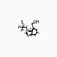 OCc1cccc2ncn(CC(F)(F)F)c12